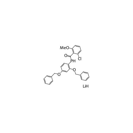 COc1cccc(Cl)c1C(=O)Pc1ccc(OCc2ccccc2)cc1OCc1ccccc1.[LiH]